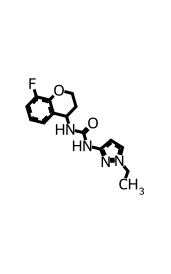 CCn1ccc(NC(=O)NC2CCOc3c(F)cccc32)n1